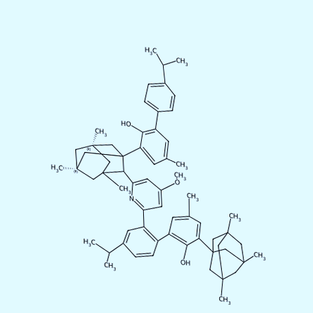 COc1cc(-c2cc(C(C)C)ccc2-c2cc(C)cc(C34CC5(C)CC(C)(CC(C)(C5)C3)C4)c2O)nc(C2C3(C)C[C@]4(C)CC2(c2cc(C)cc(-c5ccc(C(C)C)cc5)c2O)C[C@@](C)(C3)C4)c1